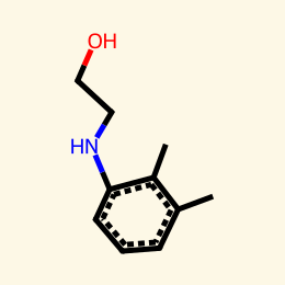 Cc1cccc(NCCO)c1C